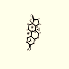 CC[C@]12CCC(=O)CC1CC[C@@H]1[C@@H]2CC[C@]2(C)C(=O)CC[C@@H]12